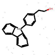 OCCc1ccc([SiH]2c3ccccc3-c3ccccc32)cc1